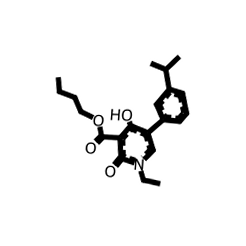 CCCCOC(=O)c1c(O)c(-c2cccc(C(C)C)c2)cn(CC)c1=O